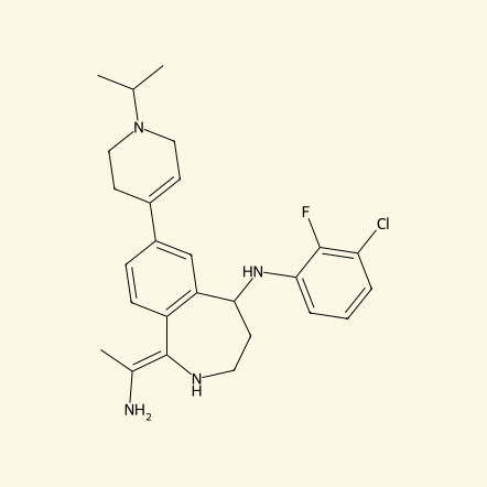 C/C(N)=C1/NCCC(Nc2cccc(Cl)c2F)c2cc(C3=CCN(C(C)C)CC3)ccc21